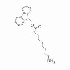 NCCCCCCCNC(=O)OCC1c2ccccc2-c2ccccc21